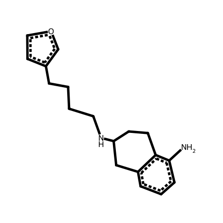 Nc1cccc2c1CCC(NCCCCc1ccoc1)C2